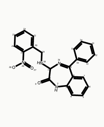 O=C1Nc2ccccc2C(c2ccccc2)=NC1NCc1ccccc1[N+](=O)[O-]